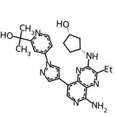 CCc1nc2c(N)ncc(-c3cnn(-c4ccnc(C(C)(C)O)c4)c3)c2nc1N[C@@H]1CC[C@H](O)C1